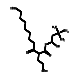 CCCCCCCCCCCCCCCCCC(=O)C(CCCCCCCCCCCC)C(=O)[P-]C(O)C[N+](C)(C)C